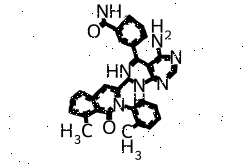 Cc1ccccc1-n1c(CNc2ncnc(N)c2C(=N)c2cccc(C(N)=O)c2)cc2cccc(C)c2c1=O